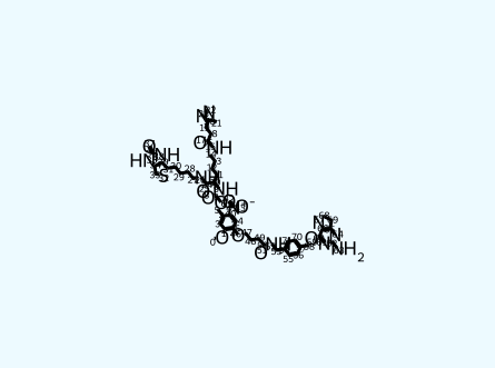 COc1cc(COC(=O)NC(CCCCNC(=O)CCC2(C)N=N2)C(=O)NCCCCC2SCC3NC(=O)NC32)c([N+](=O)[O-])cc1OCCCC(=O)NCc1ccc(COc2nc(N)nc3c2N=CC3)cc1